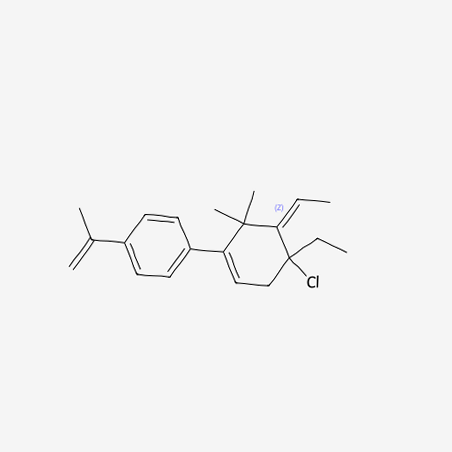 C=C(C)c1ccc(C2=CCC(Cl)(CC)/C(=C\C)C2(C)C)cc1